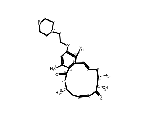 Cc1cc(OCCN2CCOCC2)c(O)c2c1C(=O)O[C@@H](C)C/C=C\C(=O)[C@@H](O)[C@@H](N=O)C/C=C/2